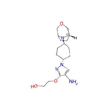 Nc1cn([C@H]2CC[C@H](N3C4CC[C@H]3COC4)CC2)nc1OCCO